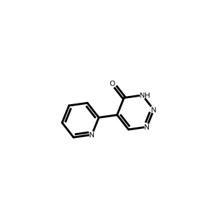 O=c1[nH]nncc1-c1ccccn1